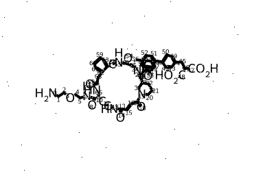 NCCOCCNC(=O)[C@@H]1CCNC(=O)/C=C/C(=O)N2CCC[C@](Cc3ccccc3)(C2)C(=O)N[C@@H](Cc2ccc(-c3ccc(CC(C(=O)O)C(=O)O)cc3)cc2)C(=O)NCc2ccccc2CC(=O)N1